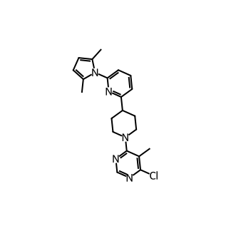 Cc1c(Cl)ncnc1N1CCC(c2cccc(-n3c(C)ccc3C)n2)CC1